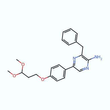 COC(CCOc1ccc(-c2cnc(N)c(Cc3ccccc3)n2)cc1)OC